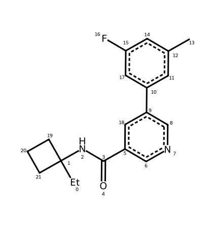 CCC1(NC(=O)c2cncc(-c3cc(C)cc(F)c3)c2)CCC1